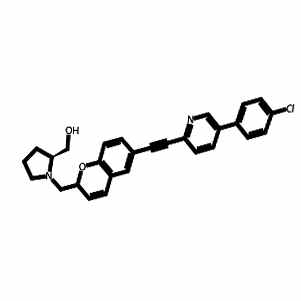 OC[C@@H]1CCCN1CC1C=Cc2cc(C#Cc3ccc(-c4ccc(Cl)cc4)cn3)ccc2O1